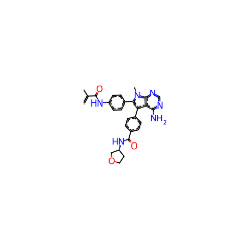 C=C(C)C(=O)Nc1ccc(-c2c(-c3ccc(C(=O)N[C@H]4CCOC4)cc3)c3c(N)ncnc3n2C)cc1